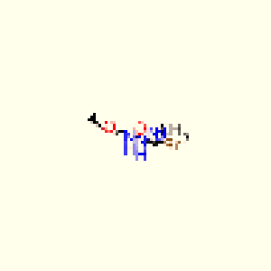 Cn1nc(NC(=O)NCCOCC2CC2)cc1Br